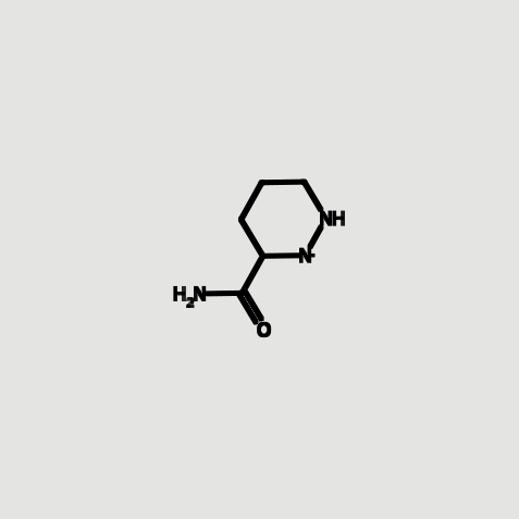 NC(=O)C1CCCN[N]1